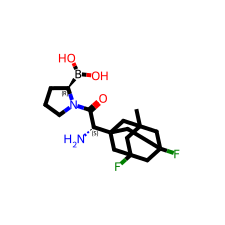 CC12CC3(F)CC(F)(C1)CC([C@H](N)C(=O)N1CCC[C@H]1B(O)O)(C2)C3